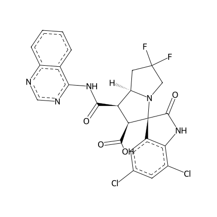 O=C(Nc1ncnc2ccccc12)[C@H]1[C@H]2CC(F)(F)CN2[C@]2(C(=O)Nc3c(Cl)cc(Cl)cc32)[C@H]1C(=O)O